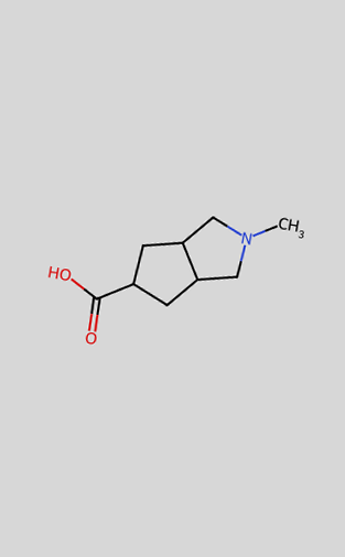 CN1CC2CC(C(=O)O)CC2C1